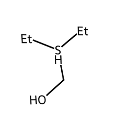 CC[SH](CC)CO